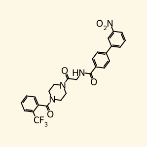 O=C(NCC(=O)N1CCN(C(=O)c2ccccc2C(F)(F)F)CC1)c1ccc(-c2cccc([N+](=O)[O-])c2)cc1